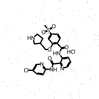 CS(=O)(=O)c1ccc(C(=O)Nc2cccnc2C(=O)Nc2ccc(Cl)cn2)c(OCC2CCNC2)c1.Cl